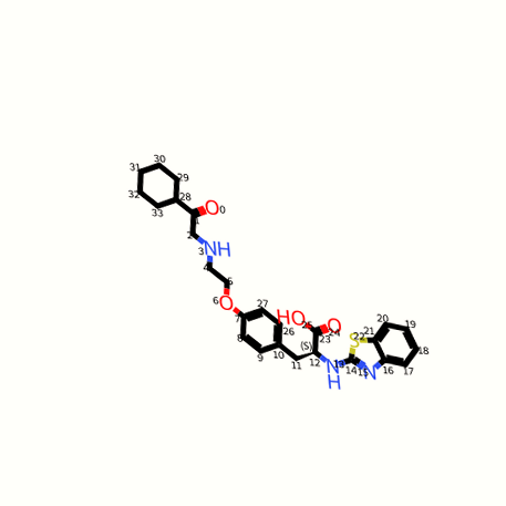 O=C(CNCCOc1ccc(C[C@H](Nc2nc3ccccc3s2)C(=O)O)cc1)C1CCCCC1